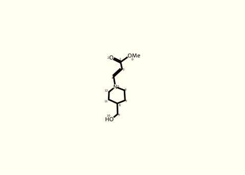 COC(=O)/C=C/N1CCC(CO)CC1